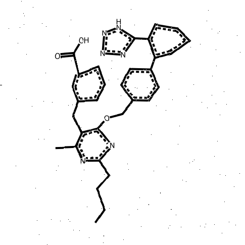 CCCCc1nc(C)c(Cc2cccc(C(=O)O)c2)c(OCc2ccc(-c3ccccc3-c3nnn[nH]3)cc2)n1